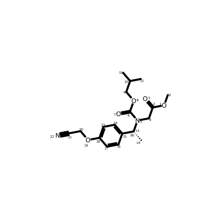 COC(=O)CN(C(=O)OCC(C)C)[C@H](C)c1ccc(OCC#N)cc1